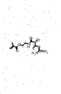 C=C(C)C(=O)OCCNC(=O)N(CC)C(C)N=C(N)N